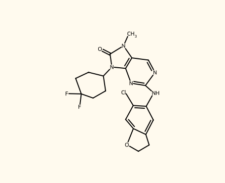 Cn1c(=O)n(C2CCC(F)(F)CC2)c2nc(Nc3cc4c(cc3Cl)OCC4)ncc21